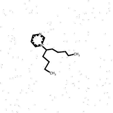 CCCCCC(CCCC)[n+]1cccnc1